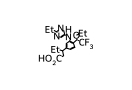 CCO[C@H](c1ccc(C(CC)CC(=O)O)cc1Nc1cnc(CC)nc1)C(F)(F)F